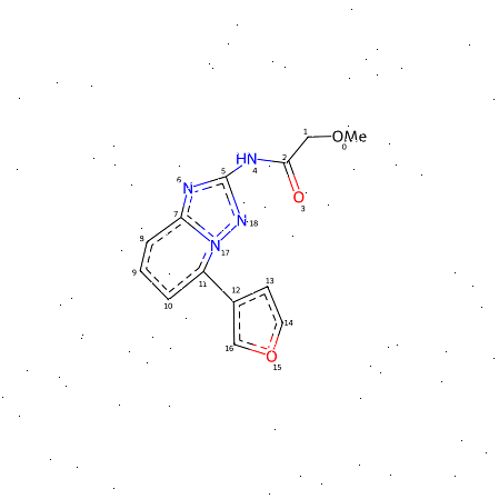 COCC(=O)Nc1nc2cccc(-c3ccoc3)n2n1